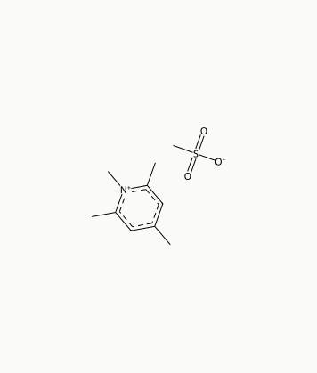 CS(=O)(=O)[O-].Cc1cc(C)[n+](C)c(C)c1